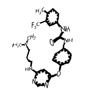 Cc1ccc(NC(=O)Nc2ccc(Oc3cc(NCCCN(C)C)ncn3)cc2)cc1C(F)(F)F